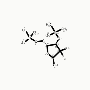 CC(C)(C)[Si](C)(C)OC[C@H]1O[C@H](O)C(F)(F)[C@@H]1O[Si](C)(C)C(C)(C)C